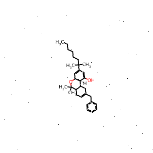 CCCCCCC(C)(C)C1=CC2OC(C)(C)C3CC=C(Cc4ccccc4)CC3[C@@H]2C(O)=C1